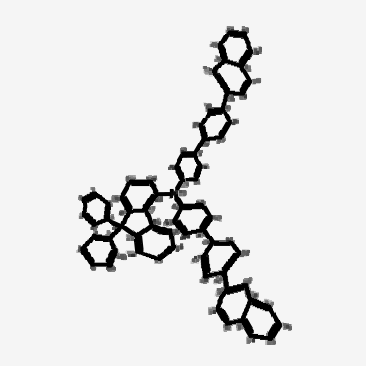 c1ccc(C2(c3ccccc3)c3ccccc3-c3c(N(c4ccc(-c5ccc(-c6ccc7ccccc7c6)cc5)cc4)c4ccc(-c5ccc(-c6ccc7ccccc7c6)cc5)cc4)cccc32)cc1